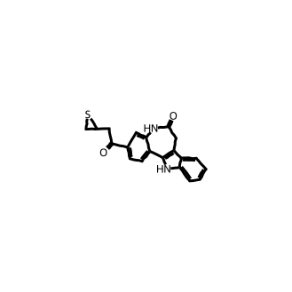 O=C1Cc2c([nH]c3ccccc23)-c2ccc(C(=O)CC3CS3)cc2N1